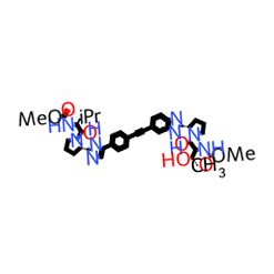 COC(=O)NC(C(=O)N1CCC[C@H]1c1nc2ccc(C#Cc3ccc(-c4cnc([C@@H]5CCCN5C(=O)[C@@H](NC(=O)OC)C(C)C)[nH]4)cc3)cc2[nH]1)[C@H](C)O